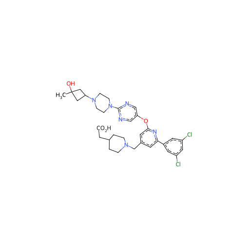 CC1(O)CC(N2CCN(c3ncc(Oc4cc(CN5CCC(CC(=O)O)CC5)cc(-c5cc(Cl)cc(Cl)c5)n4)cn3)CC2)C1